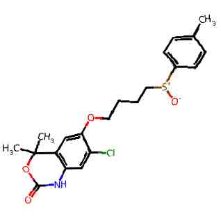 Cc1ccc([S+]([O-])CCCCOc2cc3c(cc2Cl)NC(=O)OC3(C)C)cc1